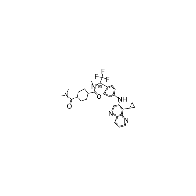 CN(C)C(=O)C1CCC(C(=O)N(C)[C@H](c2ccc(Nc3cnc4cccnc4c3C3CC3)cc2)C(F)(F)F)CC1